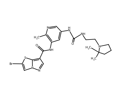 Cc1ncc(NC(=O)NCCN2CCCC2(C)C)cc1NC(=O)c1cnn2cc(Br)sc12